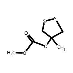 COC(=O)OC1(C)CSSC1